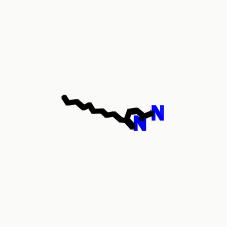 CCCCCCCCCCc1ccc(C#N)nc1